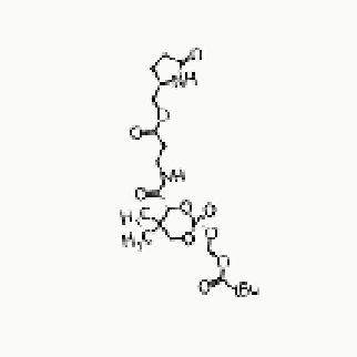 CC(C)(C)C(=O)OCO[P@@]1(=O)OCC(C)(C)[C@H](C(=O)NCCC(=O)OCC2CCC(=O)N2)O1